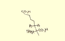 CCCCCCCC(C)(C(=O)O)C(CCCCC(=O)O)(C(C)C)C(C)C